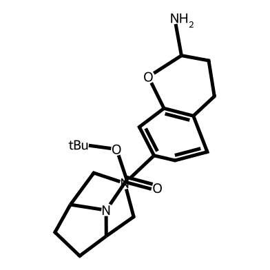 CC(C)(C)OC(=O)N1C2CCC1CN(c1ccc3c(c1)OC(N)CC3)C2